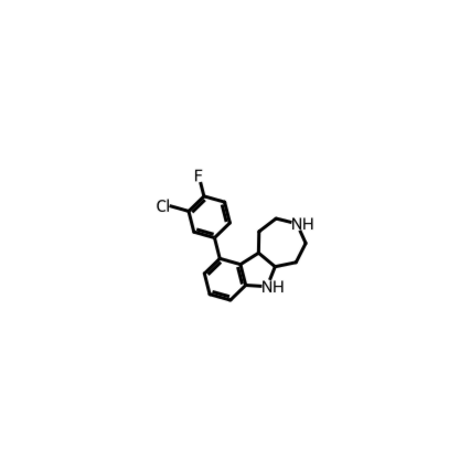 Fc1ccc(-c2cccc3c2C2CCNCCC2N3)cc1Cl